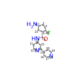 Nc1ccc(F)c(C(=O)Nc2ccnc(-c3ccncc3)c2)c1